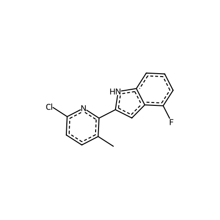 Cc1ccc(Cl)nc1-c1cc2c(F)cccc2[nH]1